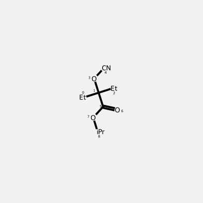 CCC(CC)(OC#N)C(=O)OC(C)C